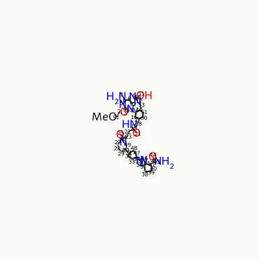 COCCOc1nc(N)c2nc(O)n(Cc3ccc(CNC(=O)CCC(=O)N4CCC[C@@H](c5ccc(-n6cc7cccc(C(N)=O)c7n6)cc5)C4)cc3)c2n1